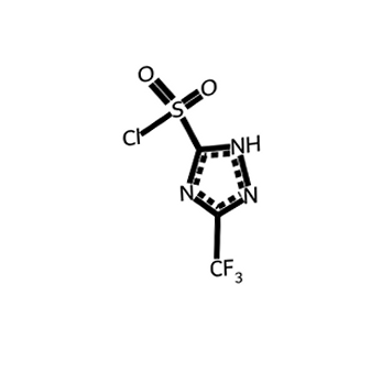 O=S(=O)(Cl)c1nc(C(F)(F)F)n[nH]1